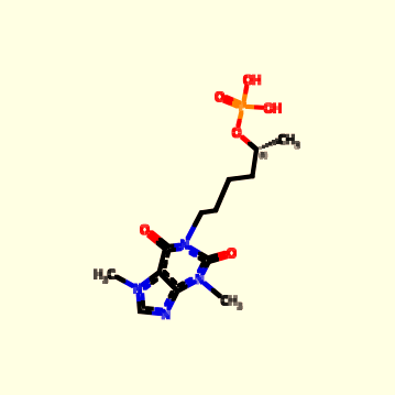 C[C@H](CCCCn1c(=O)c2c(ncn2C)n(C)c1=O)OP(=O)(O)O